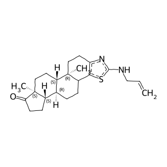 C=CCNc1nc2c(s1)C1CC[C@@H]3[C@H](CC[C@]4(C)C(=O)CC[C@@H]34)[C@@]1(C)CC2